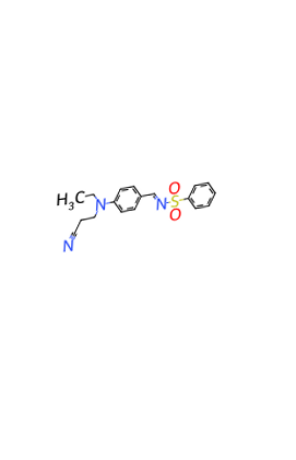 CCN(CCC#N)c1ccc(C=NS(=O)(=O)c2ccccc2)cc1